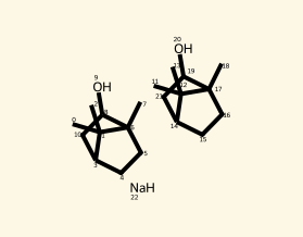 CC1(C)C2CCC1(C)C(O)C2.CC1(C)C2CCC1(C)C(O)C2.[NaH]